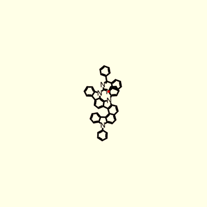 c1ccc(-c2nc(-n3c4ccccc4c4ccc5c6c7c(ccc8c7c7ccccc7n8-c7ccccc7)ccc6n(-c6ccccc6)c5c43)nc3ccccc23)cc1